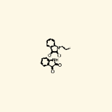 O=C1C(=O)N(CCF)c2ccccc21.O=C1Nc2ccccc2C1=O